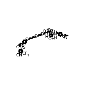 Cc1cn(-c2ccc([C@H](C)NC(=O)[C@@H]3C[C@@H](O)CN3C(=O)C(NC(=O)COCCCOCCCCCOc3ccc(N4C(=S)N(c5ccc(C#N)c(C(F)(F)F)c5)C(=O)C4(C)C)cc3)C(C)(C)C)cc2)cn1